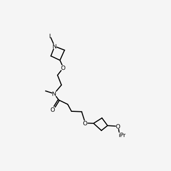 CC(C)OC1CC(OCCCC(=O)N(C)CCOC2CN(I)C2)C1